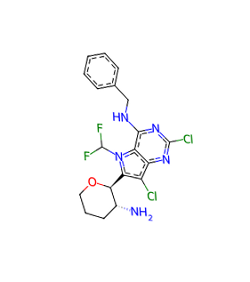 N[C@@H]1CCCO[C@H]1c1c(Cl)c2nc(Cl)nc(NCc3ccccc3)c2n1C(F)F